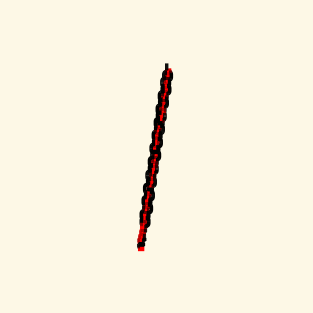 CCCCCCCCCCCCOCCOCCOCCOCCOCCOCCOCCOCCOCCOCCOCCOCCOCCOCCOCCOCCOCCOCCOCCOCCOCCOCCOCCI